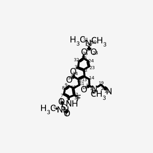 CNS(=O)(=O)Nc1cccc(Cc2c(CC(=O)N(C)CC#N)c3ccc(OC(=O)N(C)C)cc3oc2=O)c1F